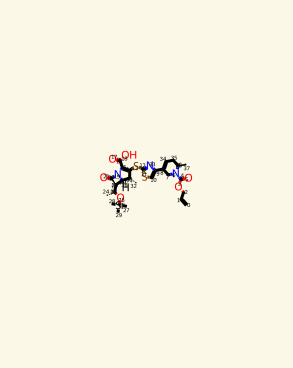 C=CCOC(=O)N1CC(c2csc(SC3=C(C(=O)O)N4C(=O)[C@H]([C@@H](C)O[Si](C)(C)C)[C@H]4[C@H]3C)n2)=CC[C@H]1C